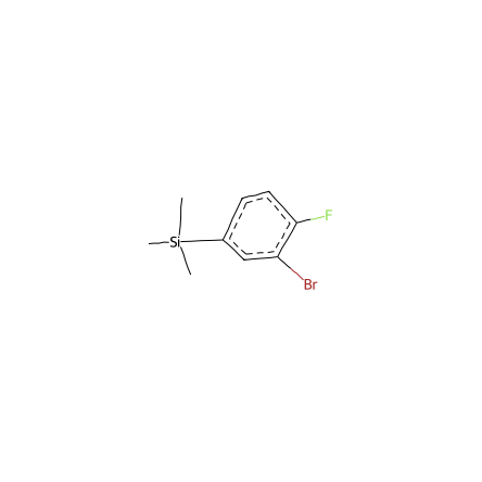 C[Si](C)(C)c1ccc(F)c(Br)c1